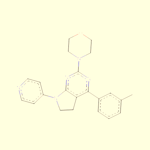 Cc1cccc(-c2nc(N3CCOCC3)nc3c2CCN3c2ccncc2)c1